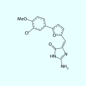 COc1ccc(-c2ccc(C=C3N=C(N)NC3=O)o2)cc1Cl